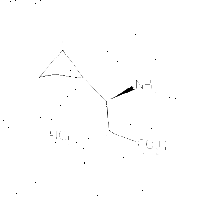 Cl.N[C@@H](CC(=O)O)C1CC1